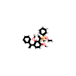 C=C(c1ccccc1)c1ccc(OC)c(C(=C)P(=C)(OCC)c2ccccc2)c1OC